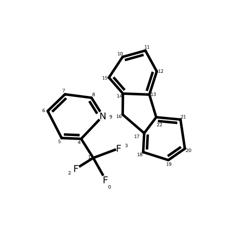 FC(F)(F)c1ccccn1.c1ccc2c(c1)Cc1ccccc1-2